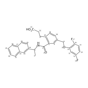 CC(NC(=O)c1cc(COc2cc(F)ccc2F)ccc1CCC(=O)O)c1ccc2ccccc2c1